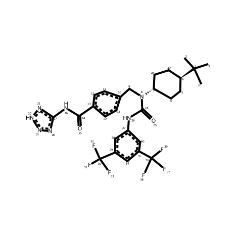 CC(C)(C)[C@H]1CC[C@H](N(Cc2ccc(C(=O)Nc3nn[nH]n3)cc2)C(=O)Nc2cc(C(F)(F)F)cc(C(F)(F)F)c2)CC1